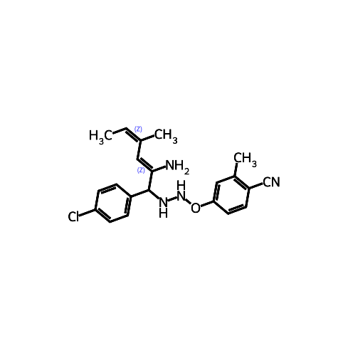 C/C=C(C)\C=C(/N)C(NNOc1ccc(C#N)c(C)c1)c1ccc(Cl)cc1